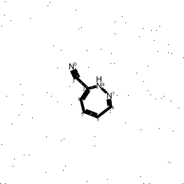 N#CC1=CC=CC=NN1